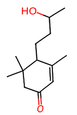 CC1=CC(=O)CC(C)(C)C1CCC(C)O